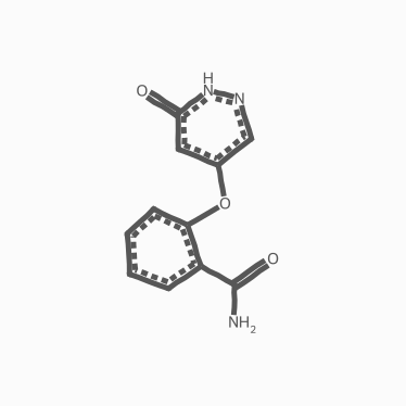 NC(=O)c1ccccc1Oc1cn[nH]c(=O)c1